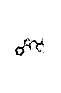 NCC(Cn1ncn(-c2ccccc2)c1=O)=C(F)F